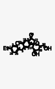 CCc1ccc(Cc2cc3c(cc2Cl)C(=O)CC32CC(O)CC(CO)O2)cc1